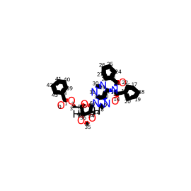 O=C(OC[C@H]1O[C@@H](n2cnc3c(N(C(=O)c4ccccc4)C(=O)c4ccccc4)ncnc32)[C@@H]2OCO[C@@H]21)c1ccccc1